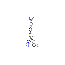 C=C1C2C=C(c3ccc(N4CCC(N(CCC)CCC)CC4)cc3)C=CC2CN1C(C)[C@@H](c1cc(C)c(/C=C\CC)[nH]1)c1cc(Cl)ccc1C